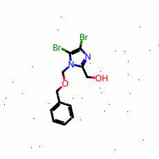 OCc1nc(Br)c(Br)n1COCc1ccccc1